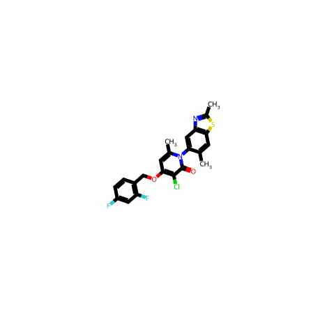 Cc1nc2cc(-n3c(C)cc(OCc4ccc(F)cc4F)c(Cl)c3=O)c(C)cc2s1